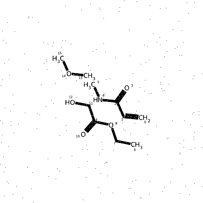 C=CC(=O)NC.CCOC(=O)CO.COC